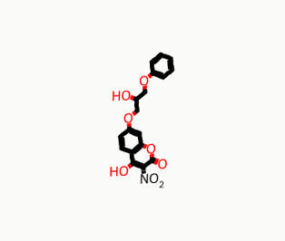 O=c1oc2cc(OCC(O)COc3ccccc3)ccc2c(O)c1[N+](=O)[O-]